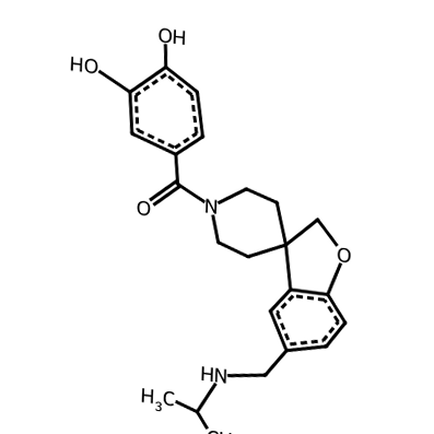 CC(C)NCc1ccc2c(c1)C1(CCN(C(=O)c3ccc(O)c(O)c3)CC1)CO2